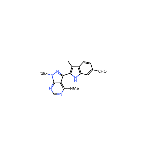 CNc1ncnc2c1c(-c1[nH]c3cc(C=O)ccc3c1C)nn2C(C)(C)C